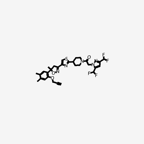 C#CCOc1cc(C)c(C)cc1C1(C)CC(c2csc(C3CCN(C(=O)Cn4nc(C(F)F)cc4C(F)F)CC3)n2)=NO1